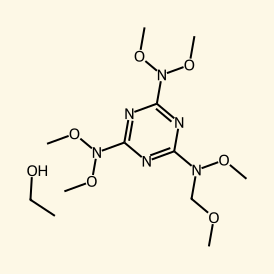 CCO.COCN(OC)c1nc(N(OC)OC)nc(N(OC)OC)n1